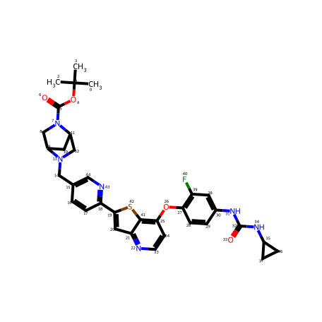 CC(C)(C)OC(=O)N1CC2CC1CN2Cc1ccc(-c2cc3nccc(Oc4ccc(NC(=O)NC5CC5)cc4F)c3s2)nc1